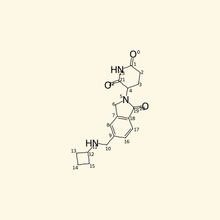 O=C1CCC(N2Cc3cc(CNC4CCC4)ccc3C2=O)C(=O)N1